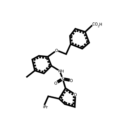 Cc1ccc(OCc2ccc(C(=O)O)cc2)c(NS(=O)(=O)c2occc2CC(C)C)c1